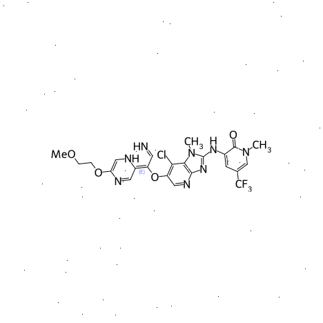 COCCOC1=CN/C(=C(\C=N)Oc2cnc3nc(Nc4cc(C(F)(F)F)cn(C)c4=O)n(C)c3c2Cl)C=N1